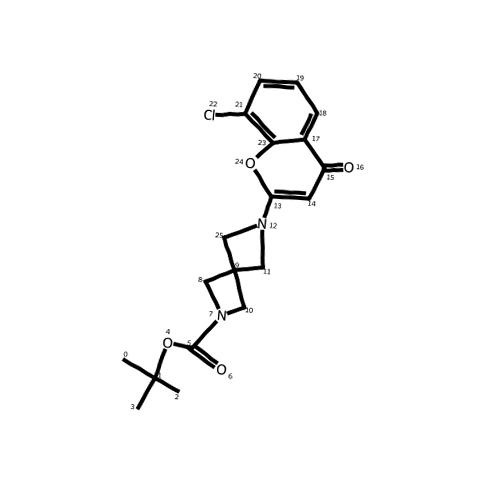 CC(C)(C)OC(=O)N1CC2(C1)CN(c1cc(=O)c3cccc(Cl)c3o1)C2